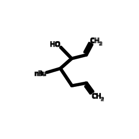 C=CC[C](CCCC)C(O)C=C